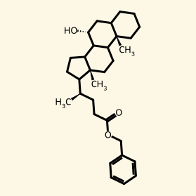 C[C@H](CCC(=O)OCc1ccccc1)C1CCC2C3C(CC[C@@]21C)[C@@]1(C)CCCCC1C[C@H]3O